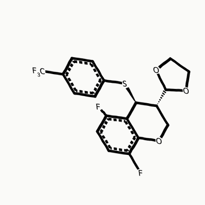 Fc1ccc(F)c2c1OC[C@@H](C1OCCO1)[C@@H]2Sc1ccc(C(F)(F)F)cc1